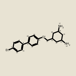 CCc1ccc(-c2ccc(OCC3CC(N)CC(N)C3)cc2)cc1